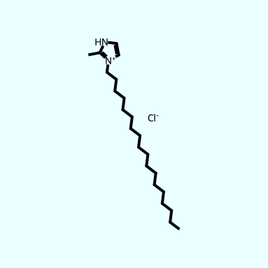 CCCCCCCCCCCCCCCCCC[n+]1cc[nH]c1C.[Cl-]